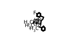 CC(c1ccccc1)N(CC1CCc2ccc(F)cc2N1)C(=O)OC(C)(C)C